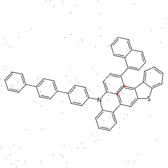 c1ccc(-c2ccc(-c3ccc(N(c4ccc(-c5cccc6ccccc56)cc4)c4ccccc4-c4ccc5c(c4)sc4ccccc45)cc3)cc2)cc1